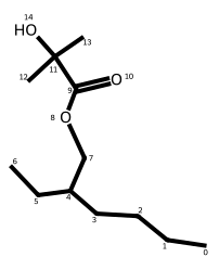 CCCCC(CC)COC(=O)C(C)(C)O